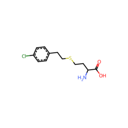 NC(CCSCCc1ccc(Cl)cc1)C(=O)O